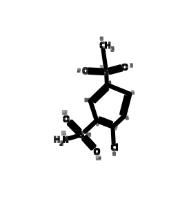 CS(=O)(=O)c1ccc(Cl)c(S(N)(=O)=O)c1